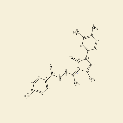 CC1=NN(c2ccc(C)c(C)c2)C(=O)/C1=C(/C)NNC(=O)c1ccc([N+](=O)[O-])cc1